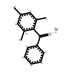 Cc1cc(C)c(C(=O)c2ccccc2)c(C)c1.[Si]